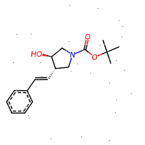 CC(C)(C)OC(=O)N1C[C@H](O)[C@@H](C=Cc2ccccc2)C1